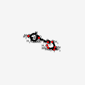 CO[C@H]1/C=C\C=C(/C)C(=O)NC2=CC(=O)C(NCCCNCCCNC3=C4C[C@@H](C)C[C@H](OC)[C@H](O)[C@@H](C)/C=C(\CO)[C@H](OC(N)=O)[C@@H](OC)/C=C\C=C(/C)C(=O)NC(=CC3=O)C4=O)=C(C[C@@H](C)C[C@H](OC)[C@H](O)[C@@H](C)/C=C(\CO)[C@@H]1OC(N)=O)C2=O